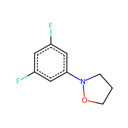 Fc1cc(F)cc(N2CCCO2)c1